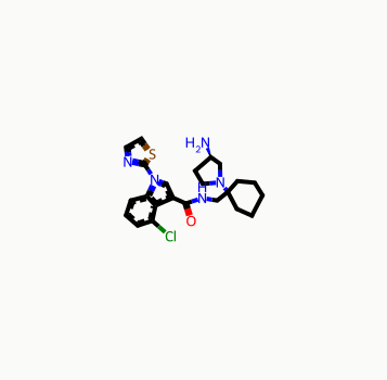 N[C@@H]1CCN(C2(CNC(=O)c3cn(-c4nccs4)c4cccc(Cl)c34)CCCCC2)C1